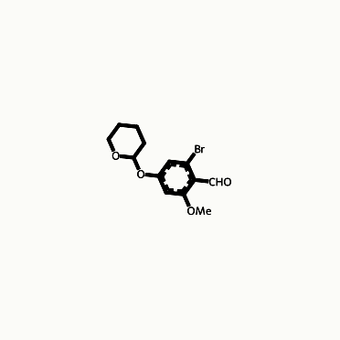 COc1cc(OC2CCCCO2)cc(Br)c1C=O